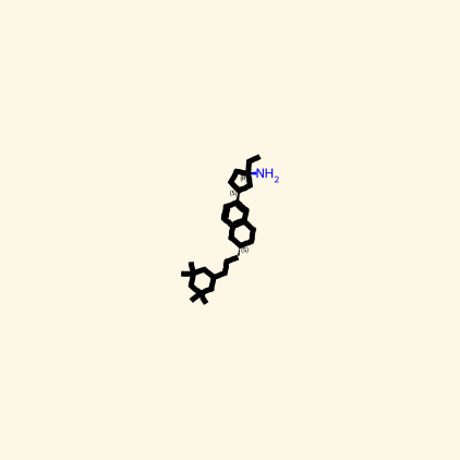 CC[C@@]1(N)CC[C@H](c2ccc3c(c2)CC[C@H](CCCC2CC(C)(C)CC(C)(C)C2)C3)C1